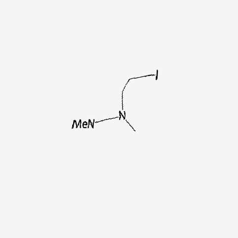 CNN(C)CI